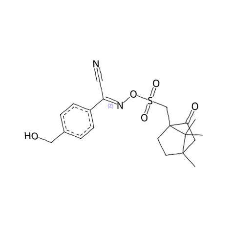 CC12CCC(CS(=O)(=O)O/N=C(\C#N)c3ccc(CO)cc3)(C(=O)C1)C2(C)C